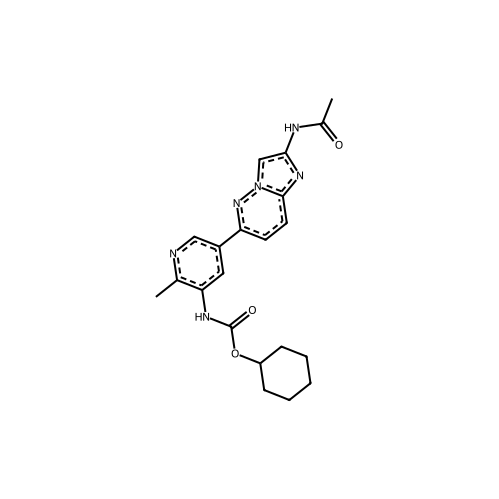 CC(=O)Nc1cn2nc(-c3cnc(C)c(NC(=O)OC4CCCCC4)c3)ccc2n1